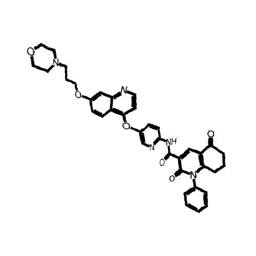 O=C1CCCc2c1cc(C(=O)Nc1ccc(Oc3ccnc4cc(OCCCN5CCOCC5)ccc34)cn1)c(=O)n2-c1ccccc1